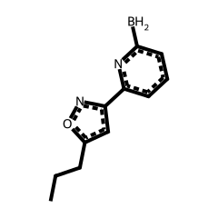 Bc1cccc(-c2cc(CCC)on2)n1